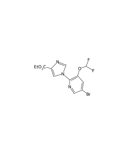 CCOC(=O)c1cn(-c2ncc(Br)cc2OC(F)F)cn1